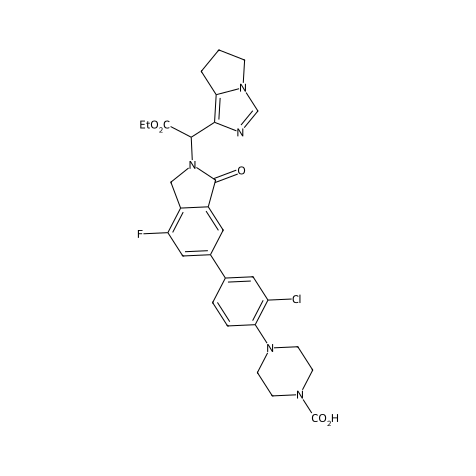 CCOC(=O)C(c1ncn2c1CCC2)N1Cc2c(F)cc(-c3ccc(N4CCN(C(=O)O)CC4)c(Cl)c3)cc2C1=O